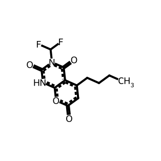 CCCCc1cc(=O)oc2[nH]c(=O)n(C(F)F)c(=O)c12